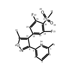 Cc1cccc(-c2noc(C)c2-c2cc(F)c(S(C)(=O)=O)c(F)c2)n1